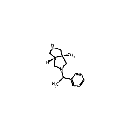 C[C@H](c1ccccc1)N1C[C@@H]2CNC[C@]2(C)C1